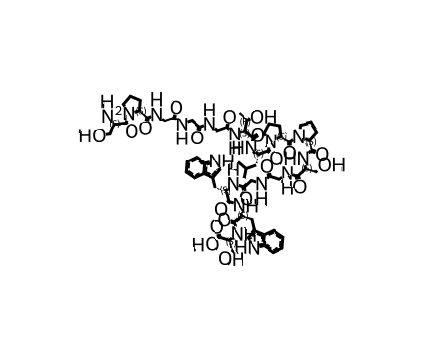 CC(C)C[C@H](NC(=O)[C@@H](NC(=O)CNC(=O)CNC(=O)CNC(=O)[C@@H]1CCCN1C(=O)[C@@H](N)CO)[C@@H](C)O)C(=O)N1CCC[C@H]1C(=O)N1CCC[C@H]1C(=O)N[C@@H](CO)C(=O)NCC(=O)NCC(=O)N[C@@H](Cc1c[nH]c2ccccc12)C(=O)N[C@@H](Cc1c[nH]c2ccccc12)C(=O)N[C@@H](CO)C(=O)O